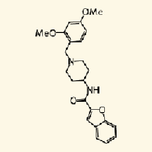 COc1ccc(CN2CCC(NC(=O)c3cc4ccccc4o3)CC2)c(OC)c1